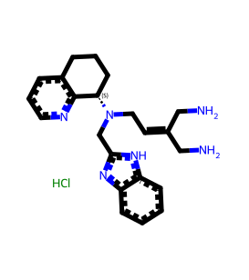 Cl.NCC(=CCN(Cc1nc2ccccc2[nH]1)[C@H]1CCCc2cccnc21)CN